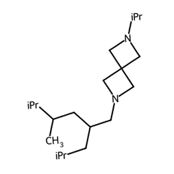 CC(C)CC(CC(C)C(C)C)CN1CC2(C1)CN(C(C)C)C2